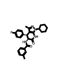 Cc1cccc(C(=O)N[C@@H]2C(=O)Nc3c(c(C)nn3C3CCCCC3)[C@@H]2c2ccc(F)cc2)c1